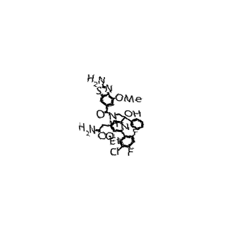 CCOc1c(CC(N)=O)cc([C@@](O)(CNC(=O)c2cc(OC)c3nc(N)sc3c2)c2ccccc2)nc1-c1cc(Cl)c(F)cc1F